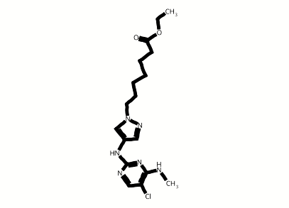 CCOC(=O)CCCCCCn1cc(Nc2ncc(Cl)c(NC)n2)cn1